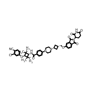 CC1(C)[C@H](NC(=O)c2ccc(N3CCN([C@H]4C[C@@H](COc5ccc6c(c5)C(=O)N(C5CCC(=O)NC5=O)C6=O)C4)CC3)cc2)C(C)(C)[C@H]1Oc1ccc(C#N)c(Cl)c1